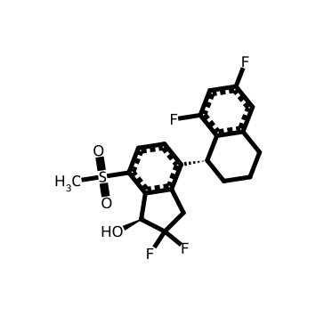 CS(=O)(=O)c1ccc([C@H]2CCCc3cc(F)cc(F)c32)c2c1[C@H](O)C(F)(F)C2